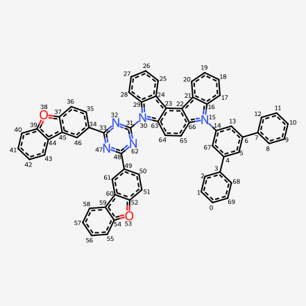 c1ccc(-c2cc(-c3ccccc3)cc(-n3c4ccccc4c4c5c6ccccc6n(-c6nc(-c7ccc8oc9ccccc9c8c7)nc(-c7ccc8oc9ccccc9c8c7)n6)c5ccc43)c2)cc1